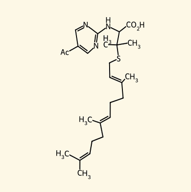 CC(=O)c1cnc(NC(C(=O)O)C(C)(C)SC/C=C(\C)CC/C=C(\C)CCC=C(C)C)nc1